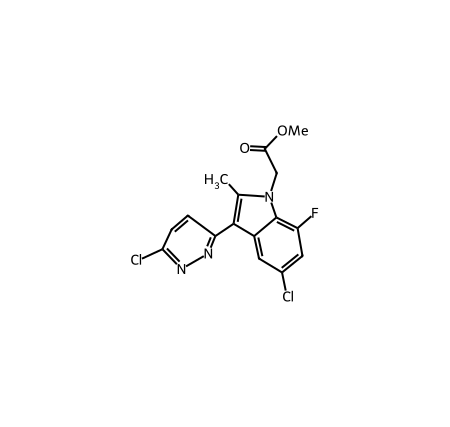 COC(=O)Cn1c(C)c(-c2ccc(Cl)nn2)c2cc(Cl)cc(F)c21